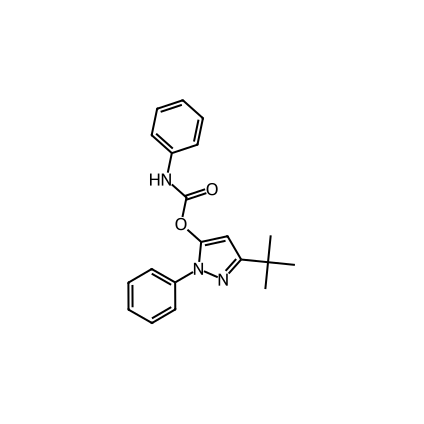 CC(C)(C)c1cc(OC(=O)Nc2ccccc2)n(-c2ccccc2)n1